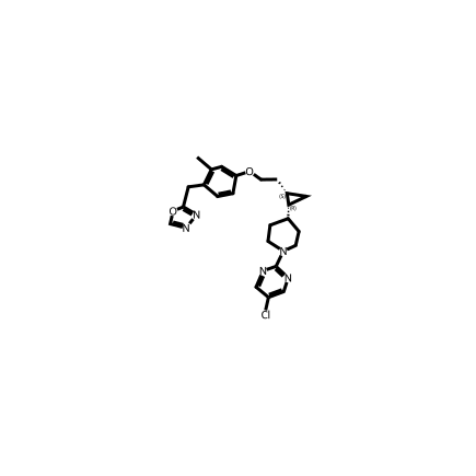 Cc1cc(OCC[C@@H]2C[C@@H]2C2CCN(c3ncc(Cl)cn3)CC2)ccc1Cc1nnco1